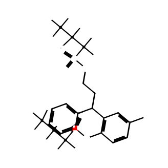 Cc1ccc(OS(=O)(=O)C(F)(F)C(F)(F)C(F)(F)C(F)(F)F)c(C(CCOS(=O)(=O)C(F)(F)C(F)(F)C(F)(F)C(F)(F)F)c2ccccc2)c1